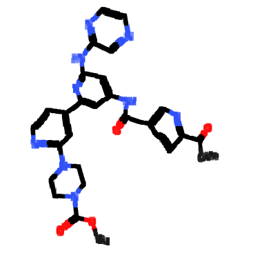 COC(=O)c1ccc(C(=O)Nc2cc(Nc3cnccn3)nc(-c3ccnc(N4CCN(C(=O)OC(C)(C)C)CC4)c3)c2)cn1